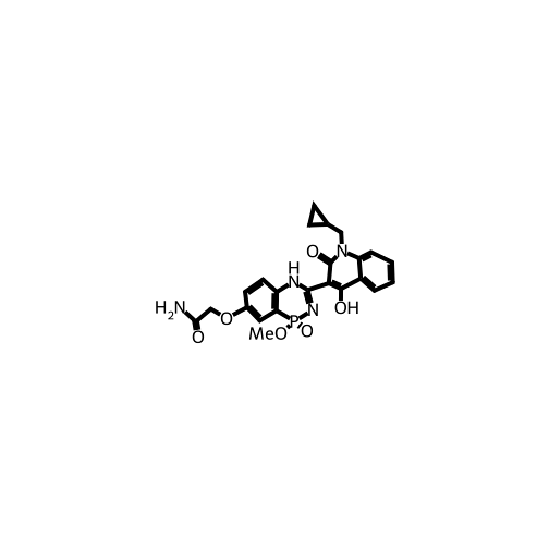 COP1(=O)N=C(c2c(O)c3ccccc3n(CC3CC3)c2=O)Nc2ccc(OCC(N)=O)cc21